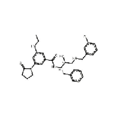 CCNc1cc(C(=O)N[C@@H](Cc2ccccc2)[C@@H](O)CNCc2cccc(Cl)c2)cc(N2CCCC2=O)c1